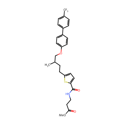 COC(=O)CCNC(=O)c1ccc(CCC(C)COc2ccc(-c3ccc(C(F)(F)F)cc3)cc2)s1